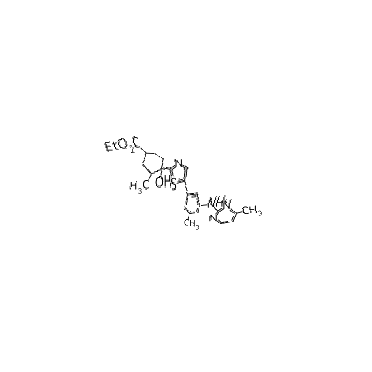 CCOC(=O)C1CCC(O)(c2ncc(-c3cc(C)cc(Nc4nccc(C)n4)c3)s2)C(C)C1